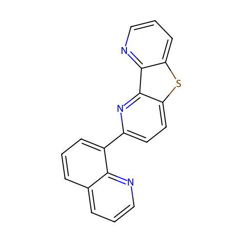 c1cnc2c(-c3ccc4sc5cccnc5c4n3)cccc2c1